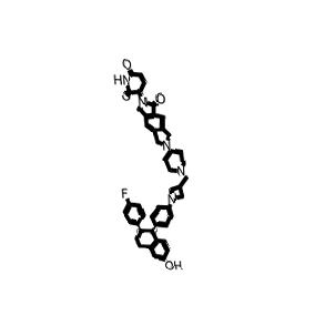 O=C1CCC(N2Cc3cc4c(cc3C2=O)CN(C2CCN(CC3CN(c5ccc([C@H]6c7ccc(O)cc7CC[C@H]6c6ccc(F)cc6)cc5)C3)CC2)C4)C(=O)N1